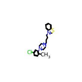 Cc1ccc(Cl)cc1N1CCN(CCCCN2CSc3ccccc32)CC1